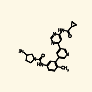 Cc1ccc(NC(=O)N2CCC(C(C)C)C2)cc1-c1cncc(-c2cc(NC(=O)C3CC3)ncn2)c1